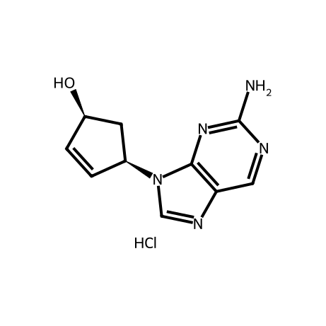 Cl.Nc1ncc2ncn([C@H]3C=C[C@@H](O)C3)c2n1